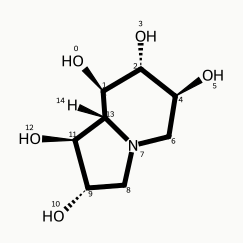 O[C@H]1[C@H](O)[C@@H](O)CN2C[C@H](O)[C@@H](O)[C@H]12